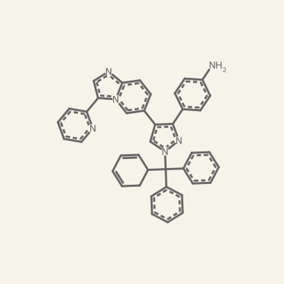 Nc1ccc(-c2nn(C(c3ccccc3)(c3ccccc3)C3C=CC=CC3)cc2-c2ccc3ncc(-c4ccccn4)n3c2)cc1